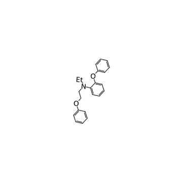 CCN(CCOc1ccccc1)c1ccccc1Oc1ccccc1